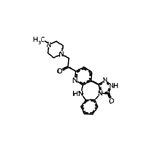 CN1CCN(CC(=O)c2ccc3c(n2)Nc2ccccc2-n2c-3n[nH]c2=O)CC1